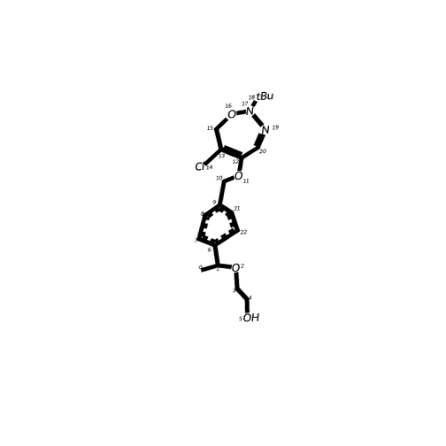 CC(OCCO)c1ccc(COC2=C(Cl)CON(C(C)(C)C)N=C2)cc1